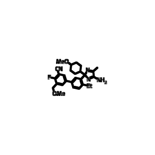 CCc1ccc(-c2cc(C#N)c(F)c(COC)c2)cc1C1(C2CCC(OC)CC2)N=C(C)C(N)=N1